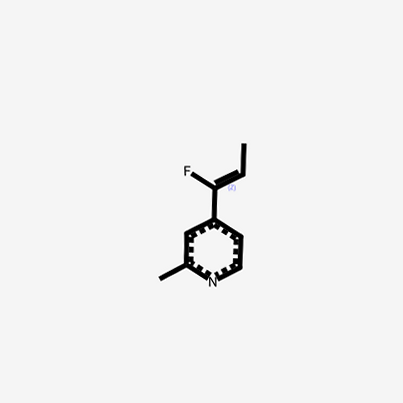 C/C=C(\F)c1ccnc(C)c1